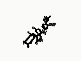 COc1cc(NC2=CC(Cl)=CN3C2=NNC(=O)C3c2cc(F)c(F)c(F)c2)ccc1-n1cnc(C)c1